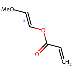 C=CC(=O)O/C=C/OC